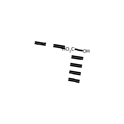 C=C.C=C.C=C.C=C.C=C.C=C.O=C(O)O